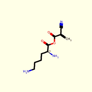 C=C(C#N)C(=O)OC(=O)[C@@H](N)CCCCN